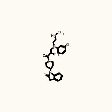 CNCCN(/C=C(\C)C(=O)N1CCC(N2C(=O)Cc3ccccc32)CC1)c1cccc(Cl)c1